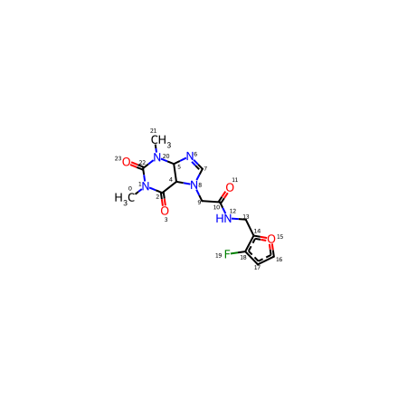 CN1C(=O)C2C(N=CN2CC(=O)NCc2occc2F)N(C)C1=O